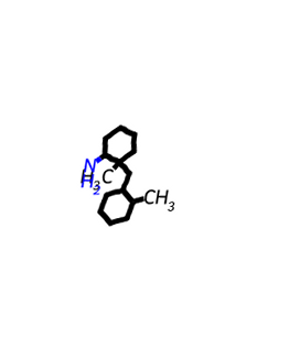 CC1CCCCC1CC1(C)CCCCC1N